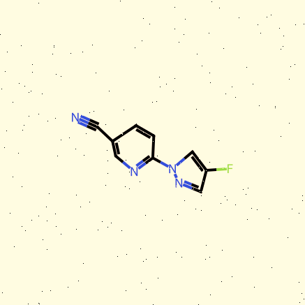 N#Cc1ccc(-n2cc(F)cn2)nc1